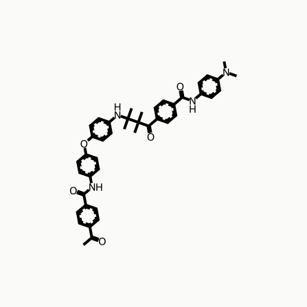 CC(=O)c1ccc(C(=O)Nc2ccc(Oc3ccc(NC(C)(C)C(C)(C)C(=O)c4ccc(C(=O)Nc5ccc(N(C)C)cc5)cc4)cc3)cc2)cc1